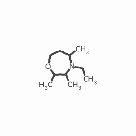 CCN1C(C)CCOC(C)C1C